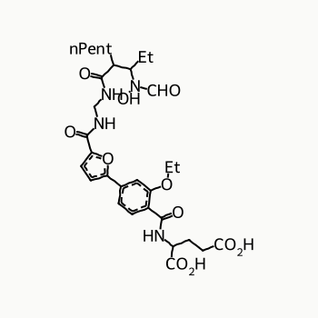 CCCCCC(C(=O)NCNC(=O)c1ccc(-c2ccc(C(=O)NC(CCC(=O)O)C(=O)O)c(OCC)c2)o1)C(CC)N(O)C=O